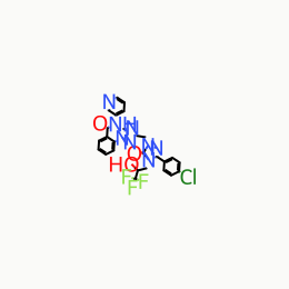 O=C(Nc1cccnc1)c1ccccc1-n1cnc(Cn2nc(-c3ccc(Cl)cc3)n(CC(O)C(F)(F)F)c2=O)n1